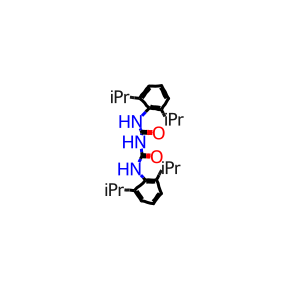 CC(C)c1cccc(C(C)C)c1NC(=O)NC(=O)Nc1c(C(C)C)cccc1C(C)C